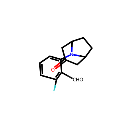 O=Cc1c(F)cccc1N1C2CCC1CC(=O)C2